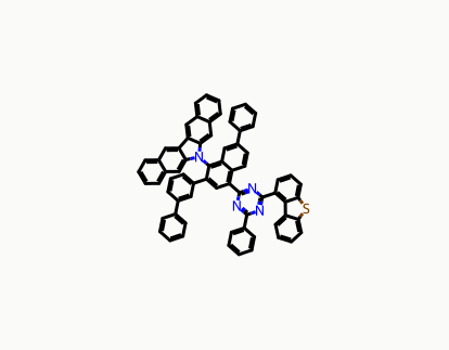 c1ccc(-c2cccc(-c3cc(-c4nc(-c5ccccc5)nc(-c5cccc6sc7ccccc7c56)n4)c4ccc(-c5ccccc5)cc4c3-n3c4cc5ccccc5cc4c4cc5ccccc5cc43)c2)cc1